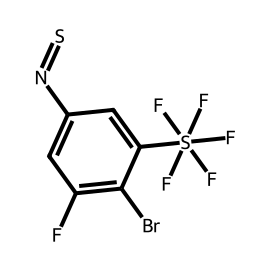 Fc1cc(N=S)cc(S(F)(F)(F)(F)F)c1Br